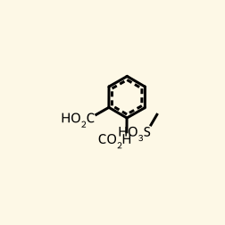 CS(=O)(=O)O.O=C(O)c1ccccc1C(=O)O